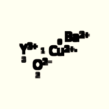 [Ba+2].[Cu+2].[O-2].[Y+3]